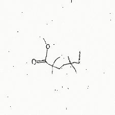 CCC(C)(C)CC(C)(C)C(=O)OC